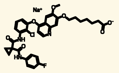 COc1cc2c(Oc3cccc(NC(=O)C4(C(=O)Nc5ccc(F)cc5)CC4)c3Cl)ccnc2cc1OCCCCCCC(=O)[O-].[Na+]